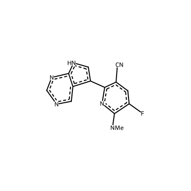 CNc1nc(-c2c[nH]c3ncncc23)c(C#N)cc1F